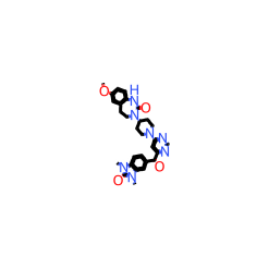 COc1ccc2c(c1)CCN(C1CCN(c3cc(C(=O)c4ccc5c(c4)n(C)c(=O)n5C)ncn3)CC1)C(=O)N2